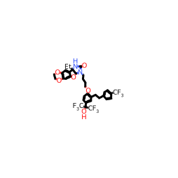 CCC1(c2ccc3c(c2)OCCO3)NC(=O)N(CCCCOc2ccc(C(O)(C(F)(F)F)C(F)(F)F)cc2CCc2ccc(C(F)(F)F)cc2)C1=O